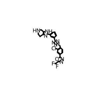 FC(F)c1nnc(-c2ccc(Cn3nnc(-c4cccc(-c5nc6c([nH]5)CNCC6)c4)n3)c(Cl)c2)o1